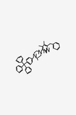 Cc1c(Cc2ccccc2)nnc(N2CCN(c3ccc(C(c4ccccc4)(c4ccccc4)c4ccccc4)cc3)C(C)C2)c1C